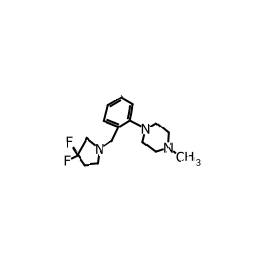 CN1CCN(c2ccccc2CN2CCC(F)(F)C2)CC1